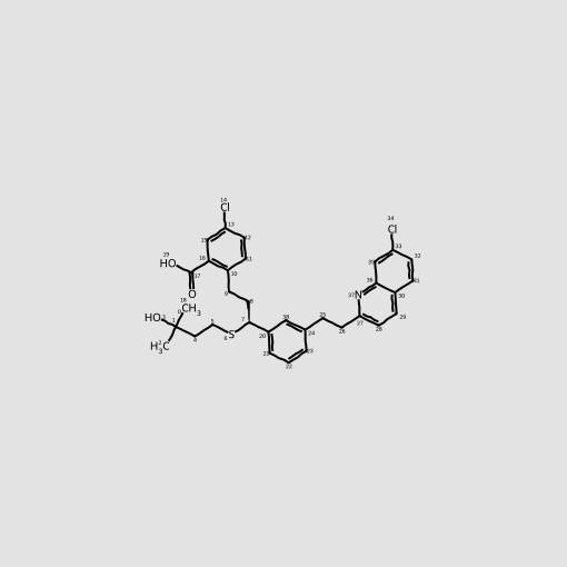 CC(C)(O)CCS[C@@H](CCc1ccc(Cl)cc1C(=O)O)c1cccc(CCc2ccc3ccc(Cl)cc3n2)c1